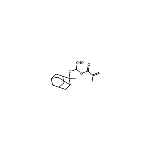 C=C(C)C(=O)OC(C=O)OC1(C)C2CC3CC(C2)CC1C3